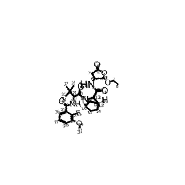 CCO[C@@H]1OC(=O)CC1NC(=O)C1[C@H]2CCC(C2)N1C(=O)[C@@H](NC(=O)c1cccc(OC)c1F)C(C)(C)C